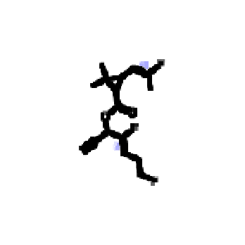 C#CC(OC(=O)C1C(/C=C(\C)F)C1(C)C)/C(F)=C/CCF